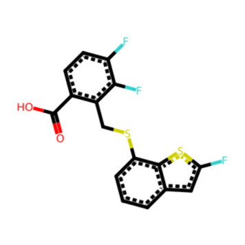 O=C(O)c1ccc(F)c(F)c1CSc1cccc2cc(F)sc12